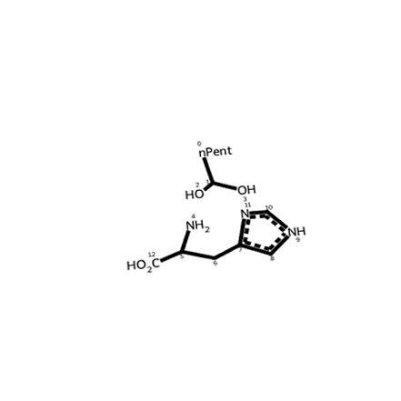 CCCCCC(O)O.NC(Cc1c[nH]cn1)C(=O)O